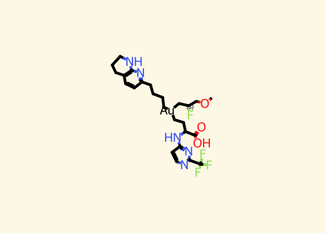 COC[C@H](F)[CH2][Au]([CH2]CCCc1ccc2c(n1)NCCC2)[CH2]CC(Nc1ccnc(C(F)(F)F)n1)C(=O)O